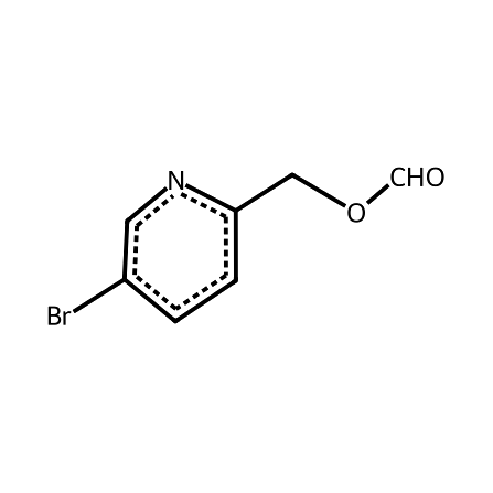 O=COCc1ccc(Br)cn1